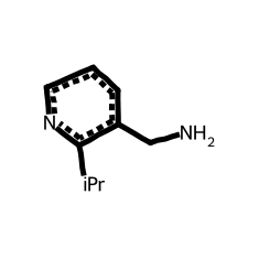 CC(C)c1ncccc1CN